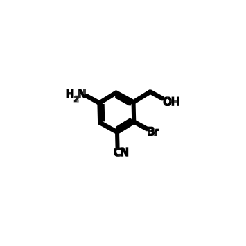 N#Cc1cc(N)cc(CO)c1Br